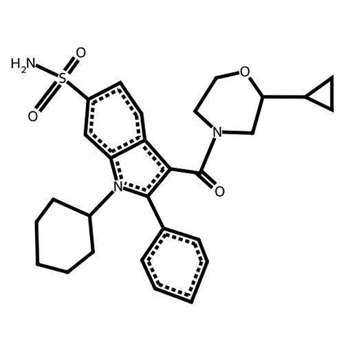 NS(=O)(=O)c1ccc2c(C(=O)N3CCOC(C4CC4)C3)c(-c3ccccc3)n(C3CCCCC3)c2c1